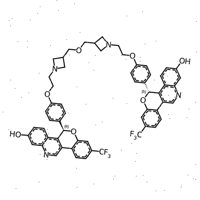 Oc1ccc2c3c(cnc2c1)-c1ccc(C(F)(F)F)cc1O[C@@H]3c1ccc(OCCN2CC(COCC3CN(CCOc4ccc([C@H]5Oc6cc(C(F)(F)F)ccc6-c6cnc7cc(O)ccc7c65)cc4)C3)C2)cc1